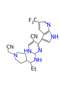 CCC(NC1N=C(c2c[nH]c3ncc(C(F)(F)F)cc23)C(C#N)=CN1)C1CCN(CC#N)CC1